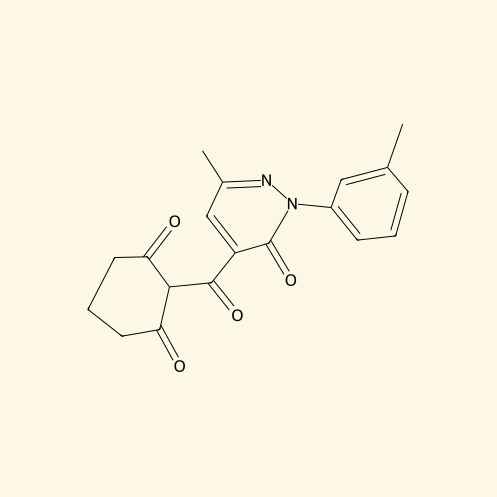 Cc1cccc(-n2nc(C)cc(C(=O)C3C(=O)CCCC3=O)c2=O)c1